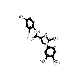 Cc1cc(N2CC(C(=O)Nc3ccc(C#N)cc3F)OC2C(F)(F)F)ccc1[N+](=O)[O-]